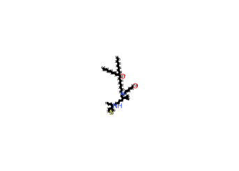 CC/C=C(/NCCCCC(CN(CCCCCC=O)CCCCCCCC(=O)C(CCCCCCCC)CCCCCCCC)C1CC1)C1=CSCC1